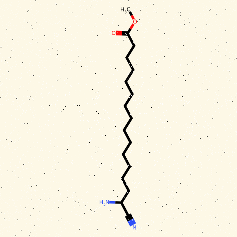 COC(=O)CCCCCCCCCCCCCC(N)C#N